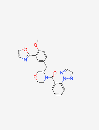 COc1ccc(CC2COCCN2C(=O)c2ccccc2-n2nccn2)cc1-c1ncco1